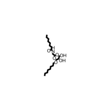 CCCCCCCCOC(OC(=O)CNC(=O)CCCCCCC)C(O)CO